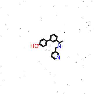 C/C(=N/Cc1cccnc1)c1cccc(-c2ccc(O)cc2)c1